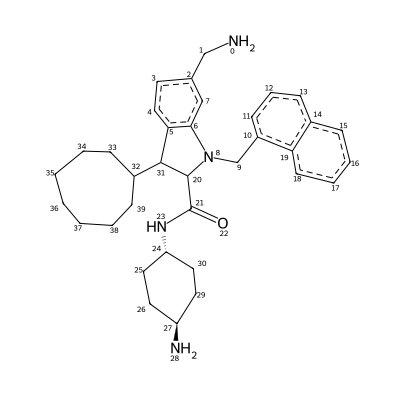 NCc1ccc2c(c1)N(Cc1cccc3ccccc13)C(C(=O)N[C@H]1CC[C@H](N)CC1)C2C1CCCCCCC1